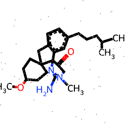 COC1CCC2(CC1)Cc1ccc(CCCC(C)C)cc1C21N=C(N)N(C)CC1=O